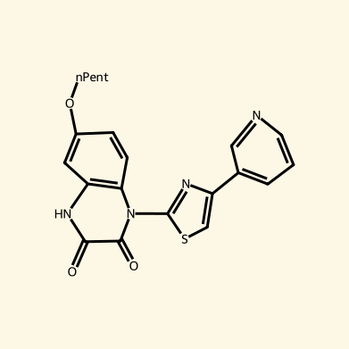 CCCCCOc1ccc2c(c1)[nH]c(=O)c(=O)n2-c1nc(-c2cccnc2)cs1